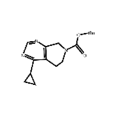 CC(C)(C)OC(=O)N1CCc2c(ncnc2C2CC2)C1